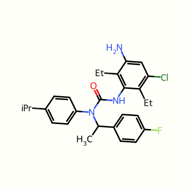 CCc1c(N)cc(Cl)c(CC)c1NC(=O)N(c1ccc(C(C)C)cc1)C(C)c1ccc(F)cc1